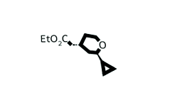 CCOC(=O)C[C@@H]1CCO[C@@H](C2CC2)C1